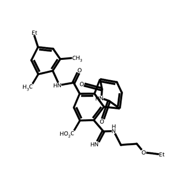 CCOCCNC(=N)c1c(C(=O)O)cc(C(=O)Nc2c(C)cc(CC)cc2C)c2c3ccc(c(=O)[nH]c3=O)c12